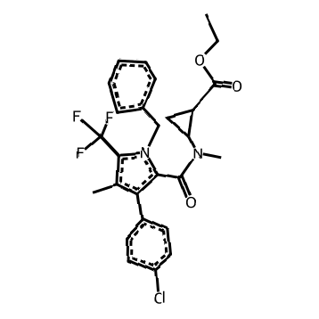 CCOC(=O)C1CC1N(C)C(=O)c1c(-c2ccc(Cl)cc2)c(C)c(C(F)(F)F)n1Cc1ccccc1